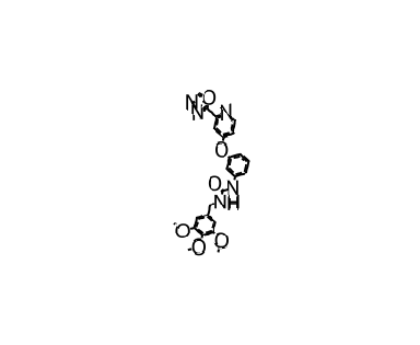 COc1cc(CNC(=O)Nc2cccc(Oc3ccnc(-c4nnco4)c3)c2)cc(OC)c1OC